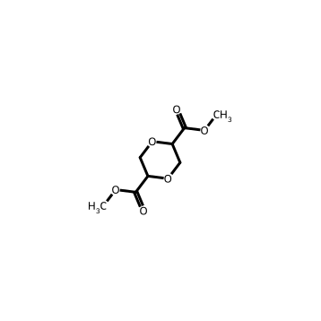 COC(=O)C1COC(C(=O)OC)CO1